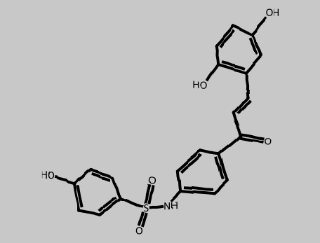 O=C(/C=C/c1cc(O)ccc1O)c1ccc(NS(=O)(=O)c2ccc(O)cc2)cc1